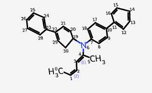 C/C=C\C=C(/C)N(c1ccc(-c2ccccc2)cc1)C1C=CC(c2ccccc2)=CC1